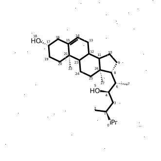 CC(C)[C@@H](C)C[C@@H](O)[C@@H](C)[C@H]1CCC2C3CC=C4C[C@@H](O)CC[C@]4(C)C3CC[C@@]21C